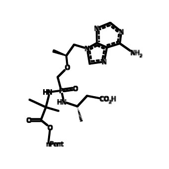 CCCCCOC(=O)C(C)(C)NP(=O)(CO[C@@H](C)Cn1cnc2c(N)ncnc21)N[C@@H](C)CC(=O)O